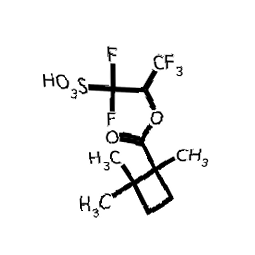 CC1(C)CCC1(C)C(=O)OC(C(F)(F)F)C(F)(F)S(=O)(=O)O